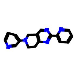 c1ccc(-c2ncc3c(n2)CCN(c2cccnc2)C3)nc1